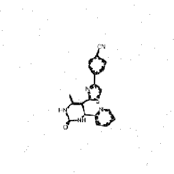 CC1=C(c2nc(-c3ccc(C#N)cc3)cs2)C(c2ccccn2)NC(=O)N1